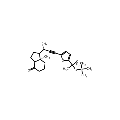 C[C@H](C#Cc1ccc(C(C)(C)O[Si](C)(C)C)o1)C1CCC2C(=O)CCC[C@@]21C